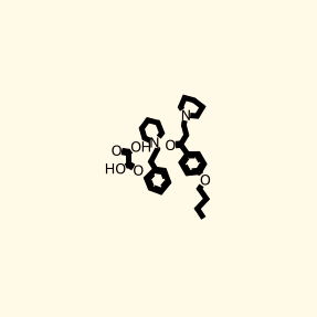 CCCCOc1ccc(C(=O)CCN2CCCCC2)cc1.O=C(O)C(=O)O.c1ccc(CCN2CCCCC2)cc1